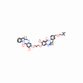 COc1cc2c(cc1OCCCOc1cc3c(cc1OC)C(=O)N1c4ccc(COCCC(C)(C)C)cc4C[C@H]1C=N3)N=C[C@@H]1Cc3ccccc3N1C2=O